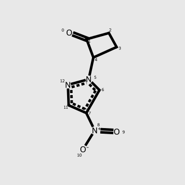 O=C1CCC1n1cc([N+](=O)[O-])cn1